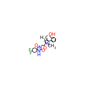 Cc1cc(C(=O)CN2C(=O)NC3(CCC(F)(F)CC3)C2=O)n(C)c1-c1ccccc1CO